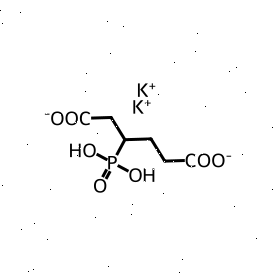 O=C([O-])CCC(CC(=O)[O-])P(=O)(O)O.[K+].[K+]